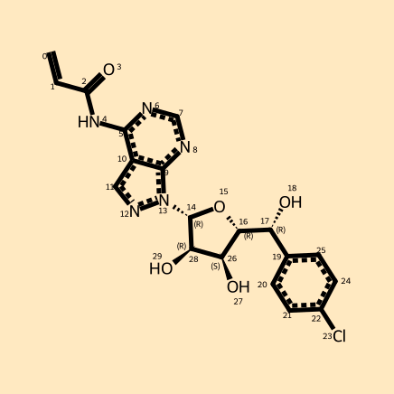 C=CC(=O)Nc1ncnc2c1cnn2[C@@H]1O[C@H]([C@H](O)c2ccc(Cl)cc2)[C@@H](O)[C@H]1O